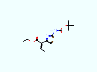 C/C=C(/C(=O)OCC)c1csc(NC(=O)OC(C)(C)C)n1